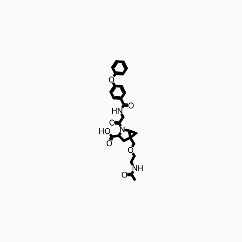 CC(=O)NCCOCC12CC(C(=O)O)N(C(=O)CNC(=O)c3ccc(Oc4ccccc4)cc3)C1C2